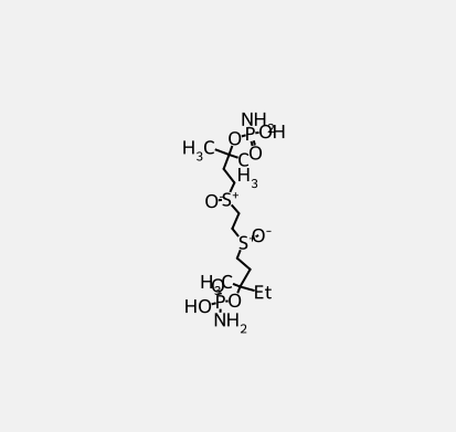 CCC(C)(CC[S+]([O-])CC[S+]([O-])CCC(C)(C)OP(N)(=O)O)OP(N)(=O)O